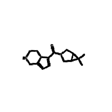 CC1(C)C2CN(C(=O)c3ccc4n3CCNC4)CC21